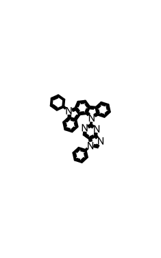 C1=CCC(n2c3ccccc3c3c4c(ccc32)c2ccccc2n4-c2ncc3c(ncn3-c3ccccc3)n2)C=C1